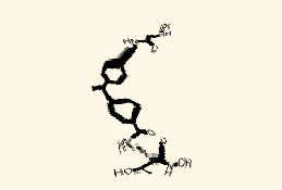 CC(C)NCC(=O)Nc1ccc(C(C)c2ccc(C(=O)N[C@H](C(=O)NO)[C@@H](C)O)cc2)cc1